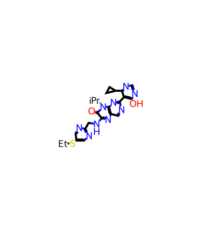 CCSc1cnc(CNc2nc3cnc(-c4c(O)ncnc4C4CC4)nc3n(C(C)C)c2=O)nc1